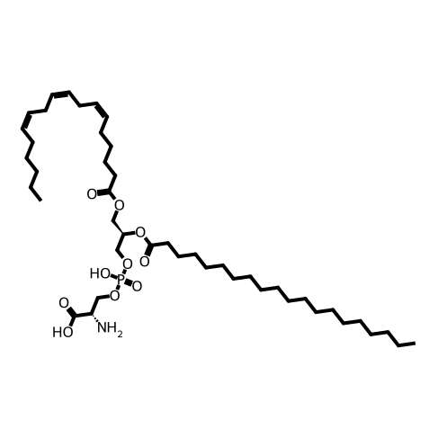 CCCCC/C=C\C/C=C\C/C=C\CCCCC(=O)OC[C@H](COP(=O)(O)OC[C@H](N)C(=O)O)OC(=O)CCCCCCCCCCCCCCCCCCC